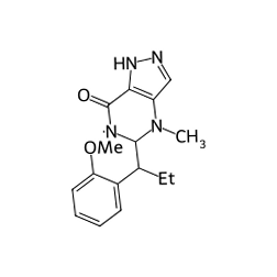 CCC(c1ccccc1OC)C1[N]C(=O)c2[nH]ncc2N1C